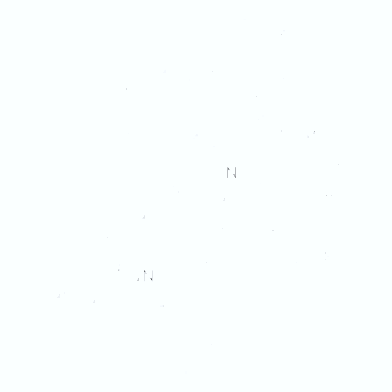 c1ccc(N(c2ccccc2)c2ccc(-n3c4c5ccccc5ccc4c4c5ccccc5c5ccccc5c43)cc2)cc1